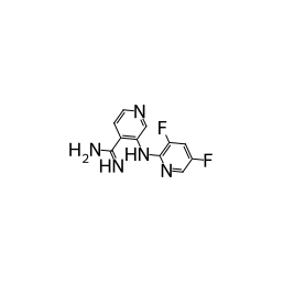 N=C(N)c1ccncc1Nc1ncc(F)cc1F